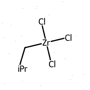 CC(C)[CH2][Zr]([Cl])([Cl])[Cl]